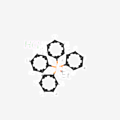 CCP(c1ccccc1)(c1ccccc1)(c1ccccc1)c1ccccc1.Cl